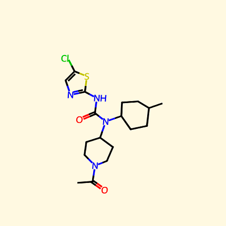 CC(=O)N1CCC(N(C(=O)Nc2ncc(Cl)s2)C2CCC(C)CC2)CC1